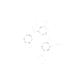 COc1cc(N2CCOCC2)ccc1Nc1nc(N)c2c(n1)N(c1ccc(F)c(F)c1)CC2C